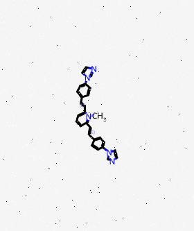 C[n+]1c(/C=C/c2ccc(-n3ccnc3)cc2)cccc1/C=C/c1ccc(-n2ccnc2)cc1